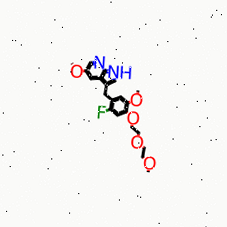 COCCOCCOc1cc(F)c(Cc2c[nH]c3ncc(OC)cc23)cc1OC